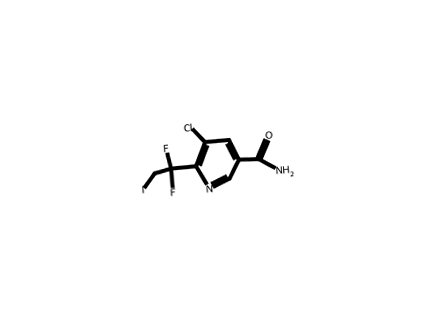 NC(=O)c1cnc(C(F)(F)CI)c(Cl)c1